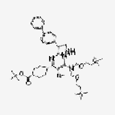 CC(C)(C)OC(=O)[C@H]1CC[C@H](C2=NC3=C(c4ccc(-c5ccccc5)nc4)CNN3C(N(COCC[Si](C)(C)C)COCC[Si](C)(C)C)=C2Br)CC1